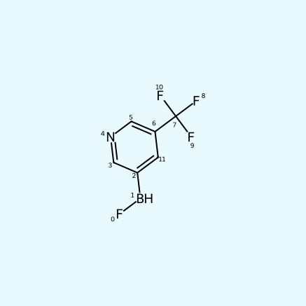 FBc1cncc(C(F)(F)F)c1